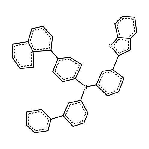 c1ccc(-c2cccc(N(c3ccc(-c4cccc5ccccc45)cc3)c3cccc(-c4cc5ccccc5o4)c3)c2)cc1